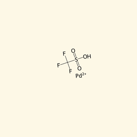 O=S(=O)(O)C(F)(F)F.[Pd+2]